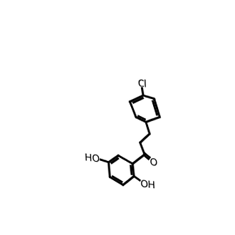 O=C(CCc1ccc(Cl)cc1)c1cc(O)ccc1O